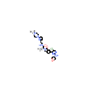 C[C@H](C(=O)NCCc1cccc(N2CCCN(C)CC2)n1)N1Cc2ccc(-c3nc(NC4CCOCC4)ncc3Cl)cc2C1=O